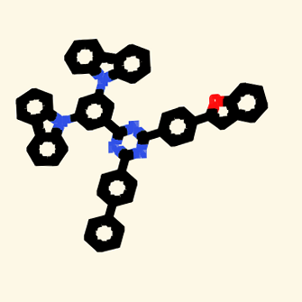 c1ccc(-c2ccc(-c3nc(-c4ccc(-c5cc6ccccc6o5)cc4)nc(-c4cc(-n5c6ccccc6c6ccccc65)cc(-n5c6ccccc6c6ccccc65)c4)n3)cc2)cc1